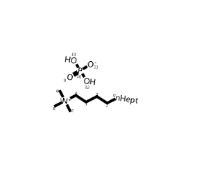 CCCCCCCCCCC[N+](C)(C)C.O=P([O-])(O)O